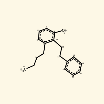 CCCCc1cccc(O)c1CCc1ccccc1